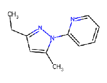 CCc1cc(C)n(-c2ccccn2)n1